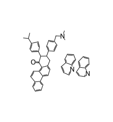 CC(C)c1ccc(C2C(=O)c3c(ccc4c3ccc3ccccc34)CC2c2ccc(CN(C)C)cc2)cc1.c1ccc2ncccc2c1.c1ccc2ncccc2c1